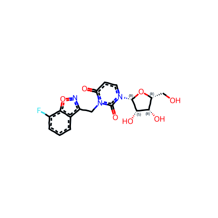 O=c1ccn([C@@H]2O[C@H](CO)[C@H](O)[C@@H]2O)c(=O)n1Cc1noc2c(F)cccc12